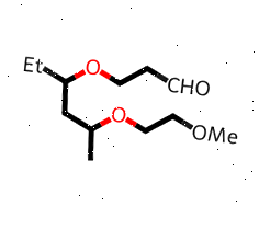 CCC(CC(C)OCCOC)OCCC=O